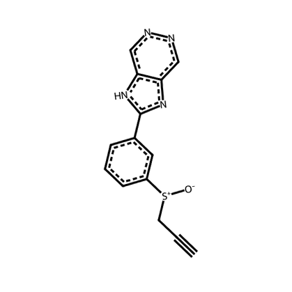 C#CC[S+]([O-])c1cccc(-c2nc3cnncc3[nH]2)c1